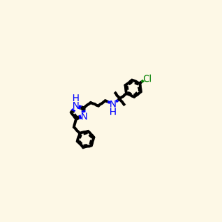 CC(C)(NCCCc1nc(Cc2ccccc2)c[nH]1)c1ccc(Cl)cc1